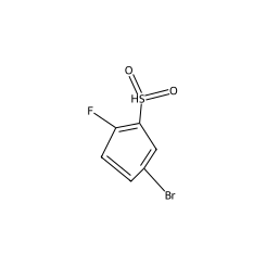 O=[SH](=O)c1cc(Br)ccc1F